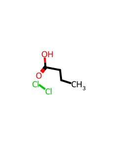 CCCC(=O)O.ClCl